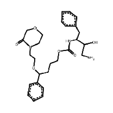 NCC(O)C(Cc1ccccc1)NC(=O)OCCCC(OCCN1CCOCC1=O)c1ccccc1